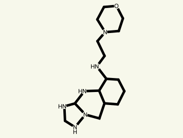 C1CC2CN3NCNC3NC2C(NCCN2CCOCC2)C1